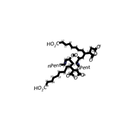 CCCCC/C=C/C(CC(CCCCCCCC(=O)O)C1CC(=O)OC1=O)OOC(/C=C/CCCCC)CC(CCCCCCCC(=O)O)C1CC(=O)OC1=O